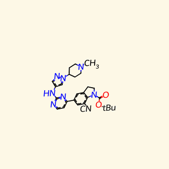 CN1CCC(n2cc(Nc3nccc(-c4cc(C#N)c5c(c4)CCN5C(=O)OC(C)(C)C)n3)cn2)CC1